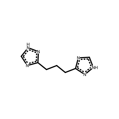 c1nc(CCCc2nc[nH]n2)n[nH]1